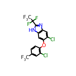 FC(F)(F)c1ccc(Oc2cc3[nH]c(C(F)(F)C(F)(F)F)nc3cc2Cl)c(Cl)c1